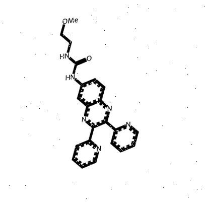 COCCNC(=O)Nc1ccc2nc(-c3ccccn3)c(-c3ccccn3)nc2c1